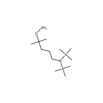 CC(C)(CCCN([Si](C)(C)C)[Si](C)(C)C)O[SiH3]